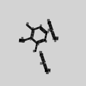 Cc1cccc(C)c1O.N=C=O.N=C=O